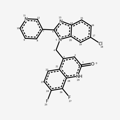 O=c1cc(Cn2c(-c3cccnc3)nc3ccc(Cl)cc32)c2ccc(F)c(F)c2[nH]1